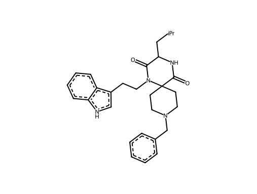 CC(C)CC1NC(=O)C2(CCN(Cc3ccccc3)CC2)N(CCc2c[nH]c3ccccc23)C1=O